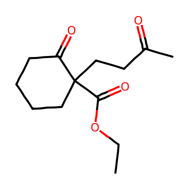 CCOC(=O)C1(CCC(C)=O)CCCCC1=O